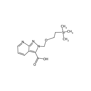 C[Si](C)(C)CCOCn1nc2ncccc2c1C(=O)O